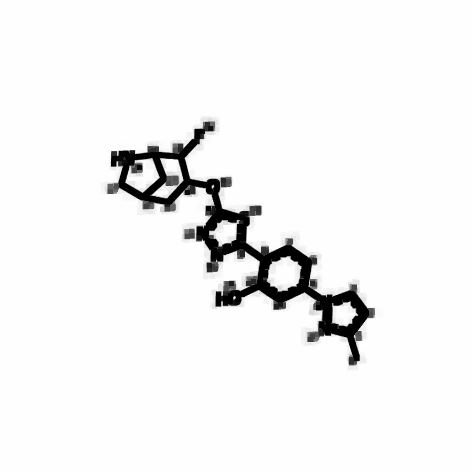 Cc1ccn(-c2ccc(-c3nnc(OC4CC5CNC(C5)C4F)s3)c(O)c2)n1